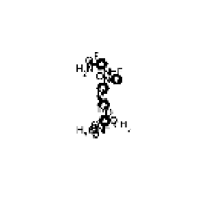 COc1cc(NS(C)(=O)=O)ccc1Oc1ccc(CN2CCC(N(C(=O)Nc3ccc(F)c(C(N)=O)c3)c3cccc(F)c3)CC2)cn1